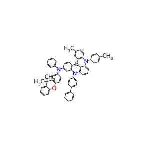 CC1=CCC(N2c3ccc(C)cc3B3c4ccc(N(c5ccccc5)c5ccc6c(c5)C(C)(C)c5ccccc5O6)cc4N(c4ccc(C5=CCCC=C5)cc4)c4cccc2c43)C=C1